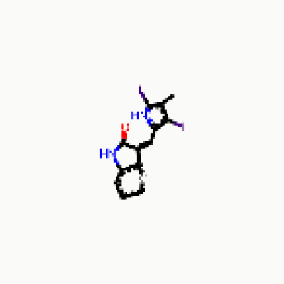 Cc1c(I)[nH]c(C=C2C(=O)Nc3ccccc32)c1I